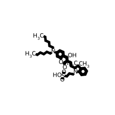 CCCCCCN(CCCCCC)c1ccc2c(O)c(/C=C/C3=[N+](CCCS(=O)(=O)O)c4ccccc4C3(C)C)c(=O)oc2c1